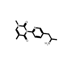 Cc1cn(C)c(=O)n(-c2ccc(CC(C)N)cn2)c1=O